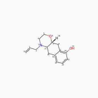 C=CCN1CCO[C@@H]2Cc3c(O)cccc3CC21